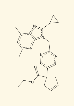 CCOC(=O)C1(c2cnc(Cn3c(C4CC4)nc4c(C)cc(C)nc43)nc2)CC=CC1